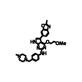 COCCOc1nc(Nc2ccc(CN3CCN(C)CC3)cc2)nc2[nH]cc(-c3ccc4nc(C)oc4c3)c12